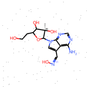 C[C@@]1(O)C(O)C(CCO)OC1n1cc(/C=N\O)c2c(N)ncnc21